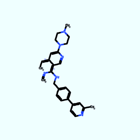 C=N/C(NCc1ccc(-c2ccnc(C)c2)cc1)=c1/cnc(N2CCN(C)CC2)c/c1=C/C